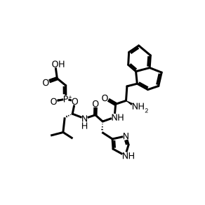 CC(C)C[C@@H](NC(=O)[C@@H](Cc1c[nH]cn1)NC(=O)[C@H](N)Cc1cccc2ccccc12)O/[P+]([O-])=C/C(=O)O